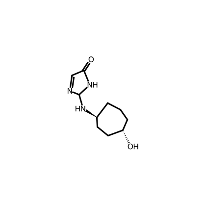 O=C1C=NC(N[C@H]2CCC[C@H](O)CC2)N1